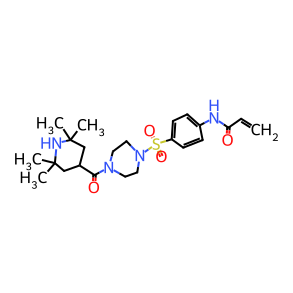 C=CC(=O)Nc1ccc(S(=O)(=O)N2CCN(C(=O)C3CC(C)(C)NC(C)(C)C3)CC2)cc1